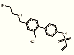 C=CS(=O)(=O)Nc1ccc(-c2ccc(CNCCC(C)C)cc2C)cc1.Cl